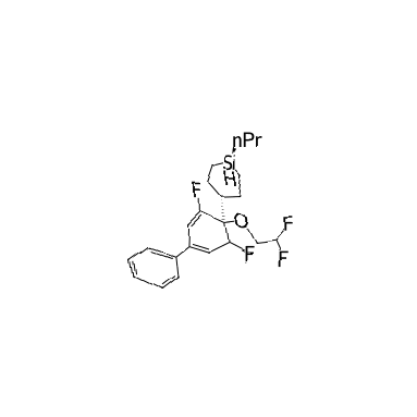 CCC[Si@H]1CC[C@H](C2(OCC(F)F)C(F)=CC(c3ccccc3)=CC2F)CC1